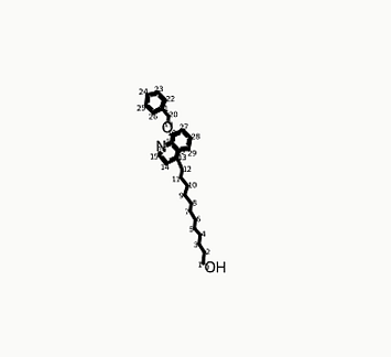 OCCCCCCCCCCCCc1ccnc2c(OCc3ccccc3)cccc12